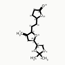 C=C1C[C@H]([C@H]2COC(C)(C)O2)OC1CCC1CCC(=O)O1